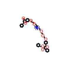 O=c1cc(-c2ccccc2)oc2cc(OCCOCc3cn(CCOCCOCCOc4ccc(-c5oc6ccccc6c(=O)c5OCc5ccccc5)cc4)nn3)ccc12